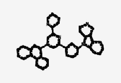 c1ccc(-c2cc(-c3cc4ccccc4c4ccccc34)cc(-c3cccc(-n4c5ccccc5c5cnccc54)c3)n2)nc1